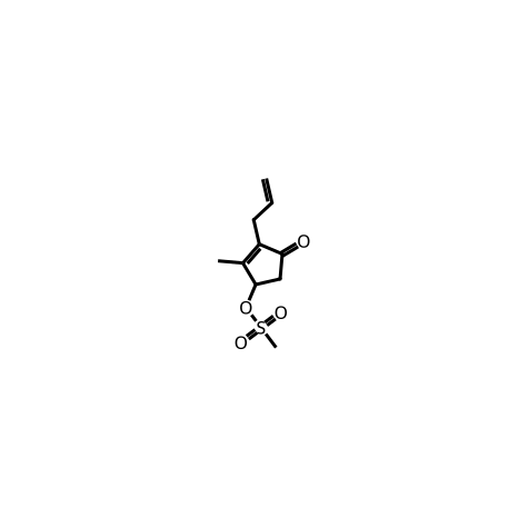 C=CCC1=C(C)C(OS(C)(=O)=O)CC1=O